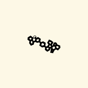 c1ccc2c(c1)-c1c(-c3ccc(-c4ccc5c(c4)-c4cccc6cccc(c46)O5)cc3)cccc1C21c2ccccc2-c2cccc3cccc1c23